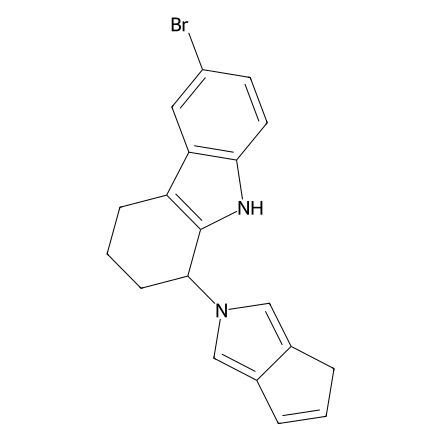 Brc1ccc2[nH]c3c(c2c1)CCCC3n1cc2c(c1)CC=C2